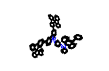 c1ccc(-c2c3ccccc3c(N(c3ccccc3)c3ccc(-n4c5ccc(-c6ccc7c(c6)C6(c8ccccc8-c8ccccc86)c6ccccc6-7)cc5c5cc(-c6ccc7c(c6)C6(c8ccccc8-c8ccccc86)c6ccccc6-7)ccc54)cc3)c3ccccc23)cc1